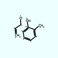 C=CCCl.Cc1ccccc1O